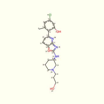 Cc1cc(Cl)cc(O)c1-c1ccc2oc(N[C@@H]3CCCN(CCCO)C3)nc2n1